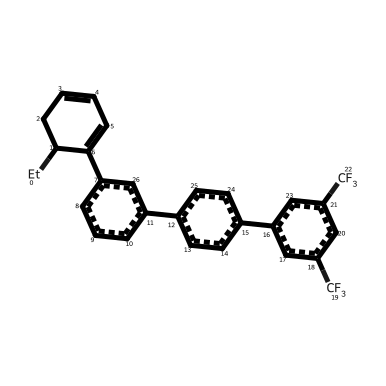 CCC1CC=CC=C1c1cccc(-c2ccc(-c3cc(C(F)(F)F)cc(C(F)(F)F)c3)cc2)c1